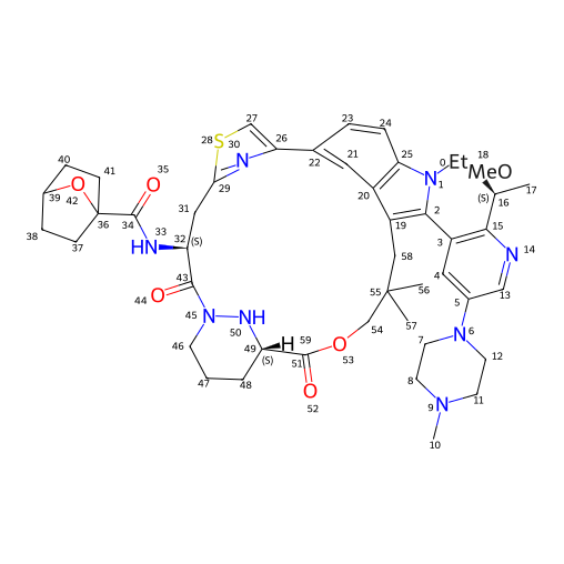 CCn1c(-c2cc(N3CCN(C)CC3)cnc2[C@H](C)OC)c2c3cc(ccc31)-c1csc(n1)C[C@H](NC(=O)C13CCC(CC1)O3)C(=O)N1CCC[C@H](N1)C(=O)OCC(C)(C)C2